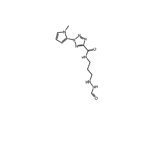 Cn1cccc1-n1nnc(C(=O)NCCCNNC=O)n1